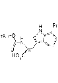 CC(C)c1cccc2c(C[C@H](NC(=O)OC(C)(C)C)C(=O)O)c[nH]c12